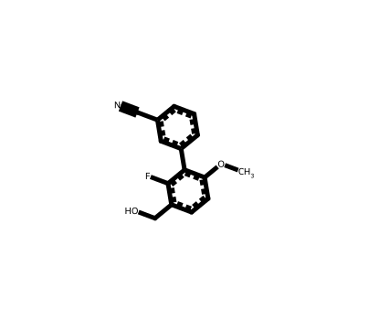 COc1ccc(CO)c(F)c1-c1cccc(C#N)c1